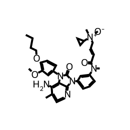 CCCCOc1ccc(-n2c3c(n(-c4cccc(N(C)C(=O)/C=C/C[N+](C)([O-])C5CC5)c4)c2=O)=NC=C=C(C)C=3N)cc1OC